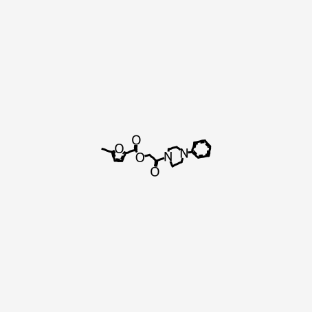 Cc1ccc(C(=O)OCC(=O)N2CCN(c3ccccc3)CC2)o1